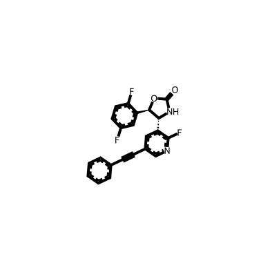 O=C1N[C@H](c2cc(C#Cc3ccccc3)cnc2F)[C@@H](c2cc(F)ccc2F)O1